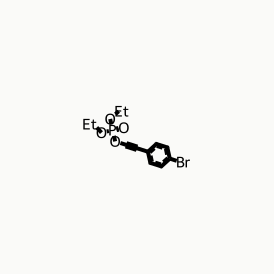 CCOP(=O)(OC#Cc1ccc(Br)cc1)OCC